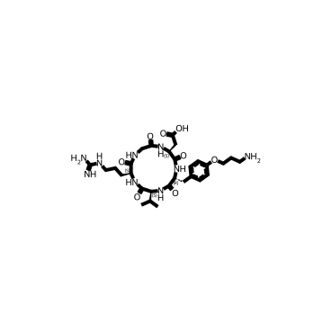 CC(C)[C@@H]1NC(=O)[C@@H](Cc2ccc(OCCCN)cc2)NC(=O)[C@H](CC(=O)O)NC(=O)CNC(=O)[C@H](CCCNC(=N)N)NC1=O